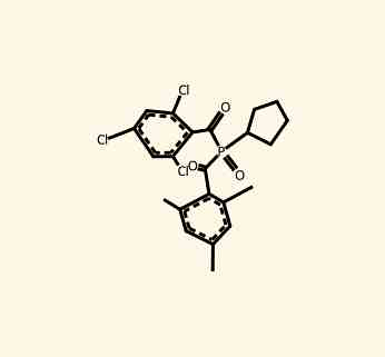 Cc1cc(C)c(C(=O)P(=O)(C(=O)c2c(Cl)cc(Cl)cc2Cl)C2CCCC2)c(C)c1